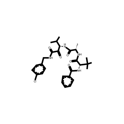 CC(C)[C@H](NC(=O)[C@H](C)NC(=O)[C@@H](NC(=O)c1ccccc1)C(C)(C)C)C(=O)C(=O)NCc1ccc(Cl)cc1